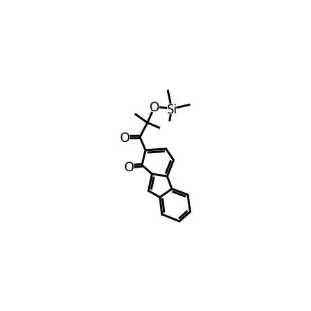 CC(C)(O[Si](C)(C)C)C(=O)C1=CC=C2C(=Cc3ccccc32)C1=O